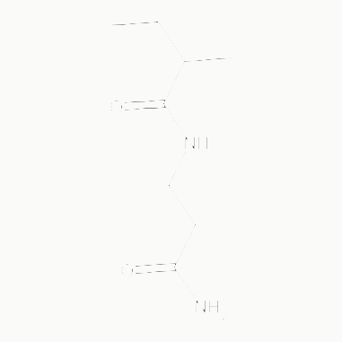 CCC(C)C(=O)NCCC(N)=O